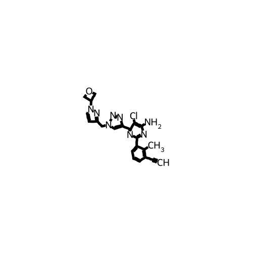 C#Cc1cccc(-c2nc(N)c(Cl)c(-c3cn(Cc4ccn(C5COC5)n4)nn3)n2)c1C